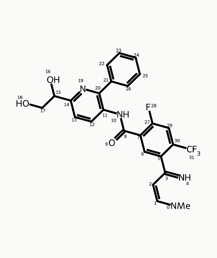 CN/C=C\C(=N)c1cc(C(=O)Nc2ccc(C(O)CO)nc2-c2ccccc2)c(F)cc1C(F)(F)F